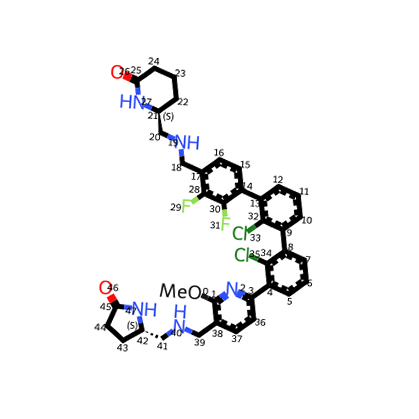 COc1nc(-c2cccc(-c3cccc(-c4ccc(CNC[C@@H]5CCCC(=O)N5)c(F)c4F)c3Cl)c2Cl)ccc1CNC[C@@H]1CCC(=O)N1